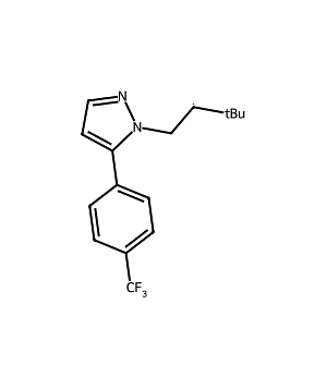 CC(C)(C)[CH]Cn1nccc1-c1ccc(C(F)(F)F)cc1